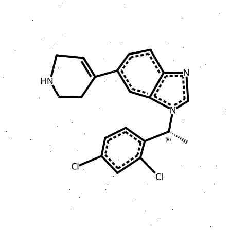 C[C@H](c1ccc(Cl)cc1Cl)n1cnc2ccc(C3=CCNCC3)cc21